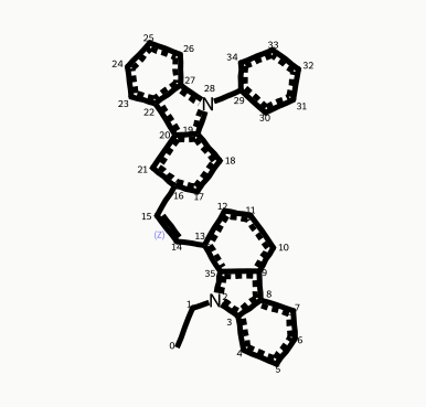 CCn1c2ccccc2c2cccc(/C=C\c3ccc4c(c3)c3ccccc3n4-c3ccccc3)c21